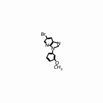 COc1cccc(-n2cnc3cc(Br)cnc32)c1